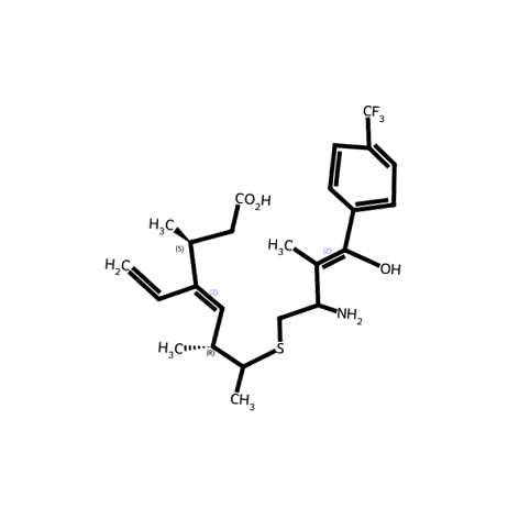 C=C/C(=C\[C@@H](C)C(C)SCC(N)/C(C)=C(\O)c1ccc(C(F)(F)F)cc1)[C@@H](C)CC(=O)O